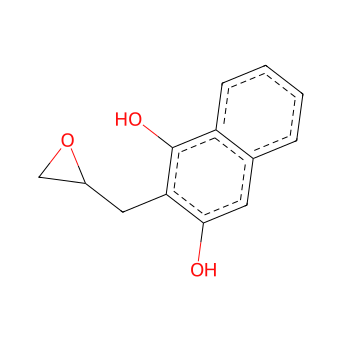 Oc1cc2ccccc2c(O)c1CC1CO1